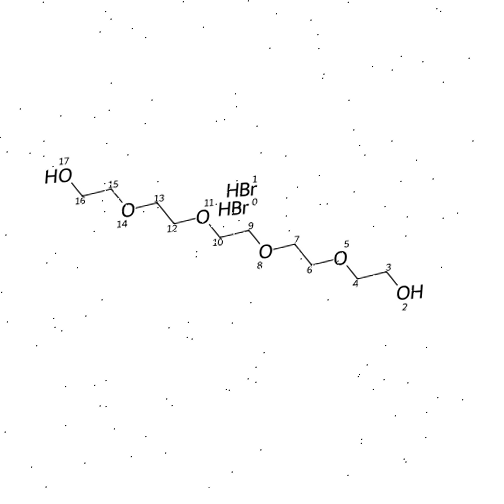 Br.Br.OCCOCCOCCOCCOCCO